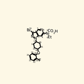 CCN(C(=O)O)c1cc2c(cn1)c(Br)nn2C1CCC(Oc2ccccc2F)CC1